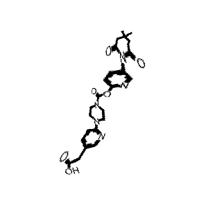 CC1(C)CC(=O)N(c2ccc(OC(=O)N3CCN(c4ccc(CC(=O)O)cn4)CC3)nc2)C(=O)C1